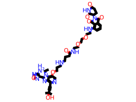 CCn1c(-c2nonc2N)nc2c(C#CC(C)(C)O)ncc(OCCCNCCCC(=O)NCCOCCOCCNc3cccc4c3C(=O)N(C3CCC(=O)NC3=O)C4=O)c21